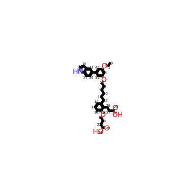 CCOc1cc(OCCCCCCc2cccc(OCCCC(=O)O)c2CCC(=O)O)cc(-c2ccc3[nH]ccc3c2)c1